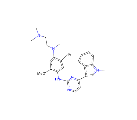 COc1cc(N(C)CCN(C)C)c(C(C)C)cc1Nc1nccc(-c2cn(C)c3ccccc23)n1